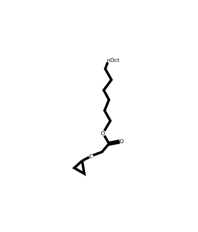 CCCCCCCCCCCCCCOC(=O)CCC1CC1